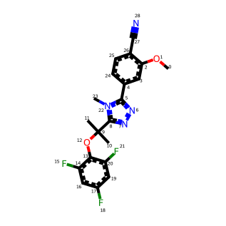 COc1cc(-c2nnc(C(C)(C)Oc3c(F)cc(F)cc3F)n2C)ccc1C#N